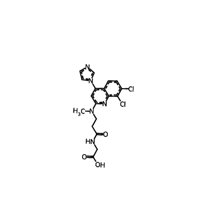 CN(CCC(=O)NCC(=O)O)c1cc(-n2ccnc2)c2ccc(Cl)c(Cl)c2n1